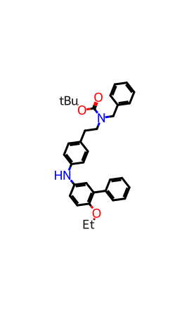 CCOc1ccc(Nc2ccc(CCN(Cc3ccccc3)C(=O)OC(C)(C)C)cc2)cc1-c1ccccc1